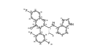 CC[C@@H](Nc1ncnc2[nH]cnc12)c1nc2ccc(F)cc2c(=O)n1-c1cc(F)ccc1F